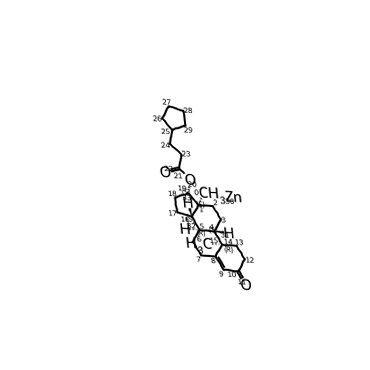 C[C@]12CC[C@H]3[C@@H](CCC4=CC(=O)CC[C@@]43C)[C@@H]1CC[C@@H]2OC(=O)CCC1CCCC1.[Zn]